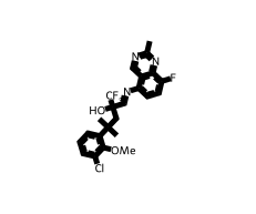 COc1c(Cl)cccc1C(C)(C)CC(O)(C=Nc1ccc(F)c2nc(C)ncc12)C(F)(F)F